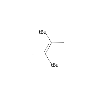 C/C(=C(/C)C(C)(C)C)C(C)(C)C